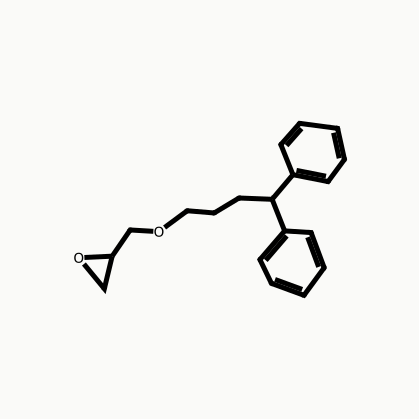 c1ccc([C](CCCOCC2CO2)c2ccccc2)cc1